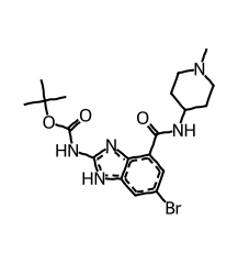 CN1CCC(NC(=O)c2cc(Br)cc3[nH]c(NC(=O)OC(C)(C)C)nc23)CC1